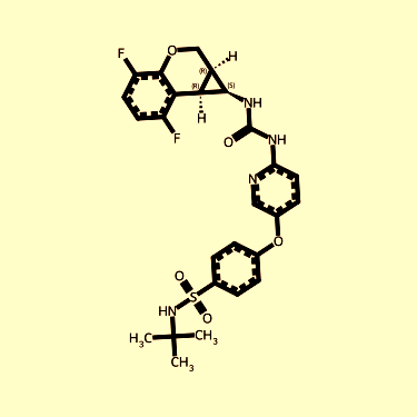 CC(C)(C)NS(=O)(=O)c1ccc(Oc2ccc(NC(=O)N[C@@H]3[C@@H]4COc5c(F)ccc(F)c5[C@@H]43)nc2)cc1